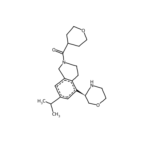 CC(C)c1cc2c(c([C@@H]3COCCN3)c1)CCN(C(=O)C1CCOCC1)C2